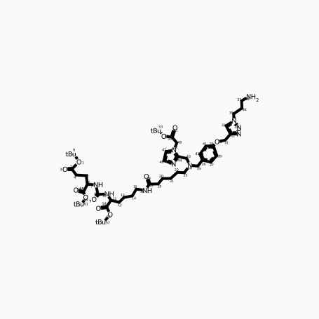 CC(C)(C)OC(=O)CCC(NC(=O)NC(CCCCNC(=O)CCCCCN(Cc1ccc(OCc2cn(CCCN)nn2)cc1)Cc1nccn1CC(=O)OC(C)(C)C)C(=O)OC(C)(C)C)C(=O)OC(C)(C)C